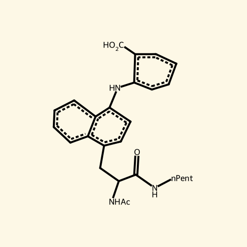 CCCCCNC(=O)C(Cc1ccc(Nc2ccccc2C(=O)O)c2ccccc12)NC(C)=O